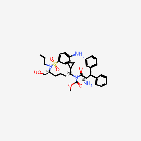 CCCN([C@H](CO)CCC[C@H](C1CC1)N(C(=O)OC)C(=O)[C@@H](N)C(c1ccccc1)c1ccccc1)S(=O)(=O)c1ccc(N)cc1